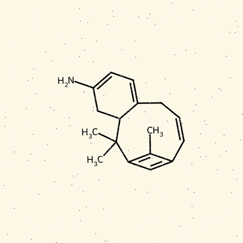 CC1=C2C=C1/C=C\CC1=CC=C(N)CC1C2(C)C